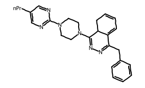 CCCc1cnc(N2CCN(C3=NN=C(Cc4ccccc4)C4=CC=CCC43)CC2)nc1